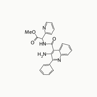 COC(=O)C(NC(=O)c1c(N)c(-c2ccccc2)nc2ccccc12)c1ccccn1